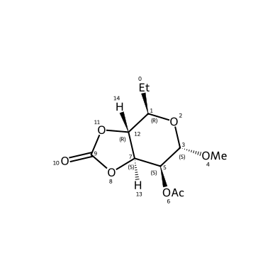 CC[C@H]1O[C@H](OC)[C@@H](OC(C)=O)[C@H]2OC(=O)O[C@@H]21